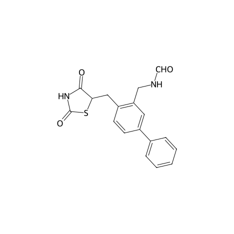 O=CNCc1cc(-c2ccccc2)ccc1CC1SC(=O)NC1=O